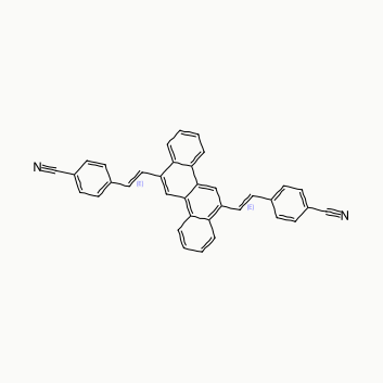 N#Cc1ccc(/C=C/c2cc3c4ccccc4c(/C=C/c4ccc(C#N)cc4)cc3c3ccccc23)cc1